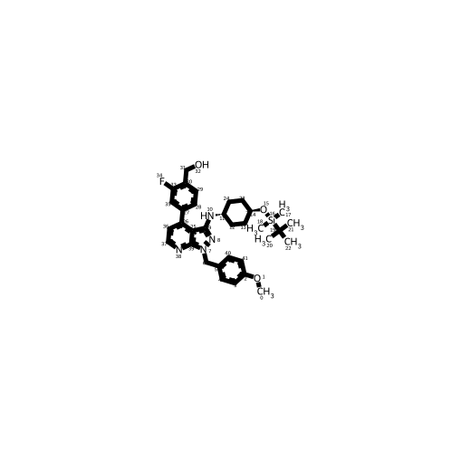 COc1ccc(Cn2nc(N[C@H]3CC[C@H](O[Si](C)(C)C(C)(C)C)CC3)c3c(-c4ccc(CO)c(F)c4)ccnc32)cc1